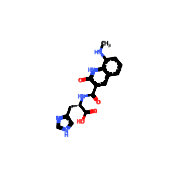 CNc1cccc2cc(C(=O)N[C@@H](Cc3c[nH]cn3)C(=O)O)c(=O)[nH]c12